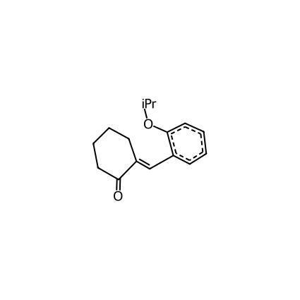 CC(C)Oc1ccccc1/C=C1\CCCCC1=O